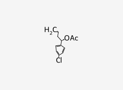 C=CC[C@@H](OC(C)=O)c1ccc(Cl)cc1